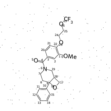 COc1cc(C(=O)N2CCC3(c4ccccc4)OCC3C2)ccc1OCCOC(F)(F)F